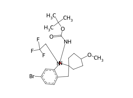 COC1CCC2(CC1)Cc1ccc(Br)cc1C21CN(CC(F)(F)F)C(NC(=O)OC(C)(C)C)=N1